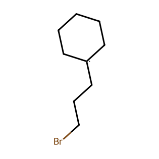 BrCCC[C]1CCCCC1